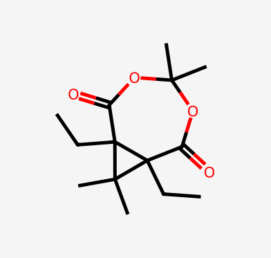 CCC12C(=O)OC(C)(C)OC(=O)C1(CC)C2(C)C